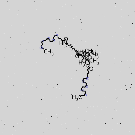 CC/C=C\C/C=C\C/C=C\C/C=C\C/C=C\CCCC(=O)NCCSSCCNC(=O)CCNC(=O)[C@H](O[Si](C)(C)C(C)(C)C)C(C)(C)COC(=O)CCC/C=C\C/C=C\C/C=C\C/C=C\C/C=C\CC